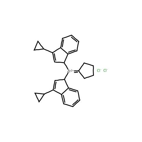 C1=C(C2CC2)c2ccccc2[CH]1[Zr+2](=[C]1CCCC1)[CH]1C=C(C2CC2)c2ccccc21.[Cl-].[Cl-]